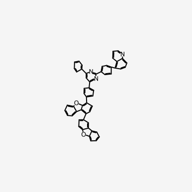 c1ccc(-c2cc(-c3ccc(-c4ccc(-c5ccc6oc7ccccc7c6c5)c5c4oc4ccccc45)cc3)nc(-c3ccc(-c4cccc5ncccc45)cc3)n2)cc1